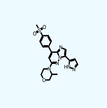 CC1COCCN1c1cc(-c2ccc(S(C)(=O)=O)cc2)c2ncc(-c3ccn[nH]3)n2n1